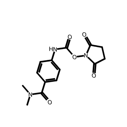 CN(C)C(=O)c1ccc(NC(=O)ON2C(=O)CCC2=O)cc1